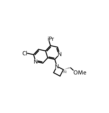 COC[C@@H]1CCN1c1ncc(C(C)C)c2cc(Cl)ncc12